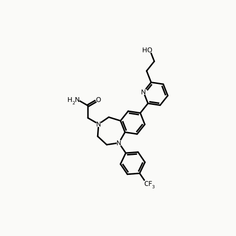 NC(=O)CN1CCN(c2ccc(C(F)(F)F)cc2)c2ccc(-c3cccc(CCO)n3)cc2C1